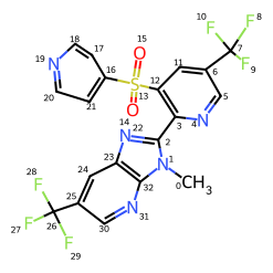 Cn1c(-c2ncc(C(F)(F)F)cc2S(=O)(=O)c2ccncc2)nc2cc(C(F)(F)F)cnc21